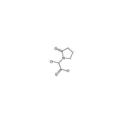 O=C(Cl)C(Cl)N1CCCC1=O